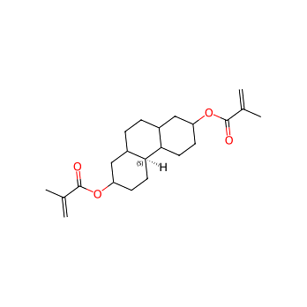 C=C(C)C(=O)OC1CCC2C(CCC3CC(OC(=O)C(=C)C)CC[C@@H]32)C1